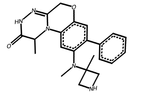 CC1C(=O)NN=C2COc3cc(-c4ccccc4)c(N(C)C4(C)CNC4)cc3N21